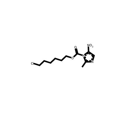 Cc1ncc([N+](=O)[O-])n1C(=O)OCCCCCCCl